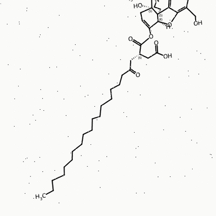 CCCCCCCCCCCCCCCCCC(=O)C[C@@H](CC(=O)O)C(=O)OC1=CC[C@@]2(O)[C@H]3Cc4ccc(CO)c5c4[C@@]2(CCN3C)[C@H]1O5